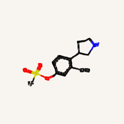 O=Cc1cc(OS(=O)(=O)C(F)(F)F)ccc1C1CCNC1